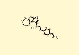 COc1ccc(CCC(O)c2cnc3sc4c(n23)CCCCC4)cc1